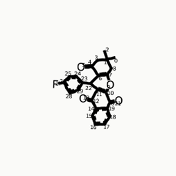 CC1(C)CC(=O)C2=C(C1)OC1=C(C(=O)c3ccccc3C1=O)C2c1ccc(F)cc1